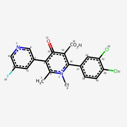 CCn1c(C)c(-c2cncc(F)c2)c(=O)c(C(=O)O)c1-c1ccc(Cl)c(Cl)c1